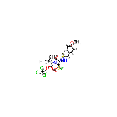 C=C(C)C(C(=O)OCC(Cl)(Cl)Cl)N1C(=O)C(NC(=S)Cc2ccc(OC)cc2)C1[S+]([O-])Cl